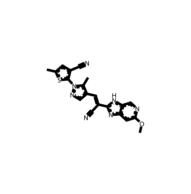 COc1cc2nc(/C(C#N)=C/c3cnn(-c4sc(C)cc4C#N)c3C)[nH]c2cn1